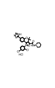 CC1(C)Oc2cc(-c3nnn[nH]3)ccc2-c2c1c(C(=O)NN1CCCCC1)nn2-c1ccc(Cl)cc1Cl.Cl